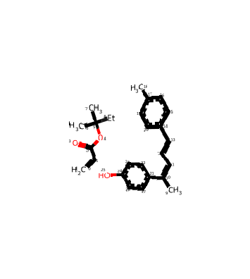 C=CC(=O)OC(C)(C)CC.CC(=CC=Cc1ccc(C)cc1)c1ccc(O)cc1